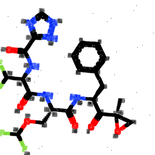 C[C@]1(C(=O)[C@H](Cc2ccccc2)NC(=O)[C@H](COC(F)F)NC(=O)[C@H](NC(=O)c2ncn[nH]2)C(F)F)CO1